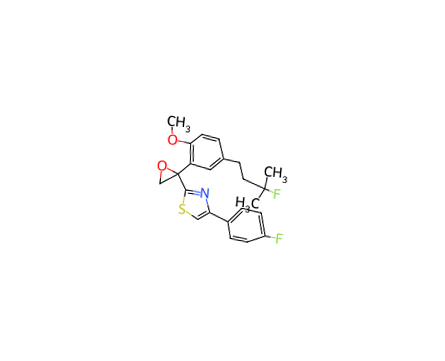 COc1ccc(CCC(C)(C)F)cc1C1(c2nc(-c3ccc(F)cc3)cs2)CO1